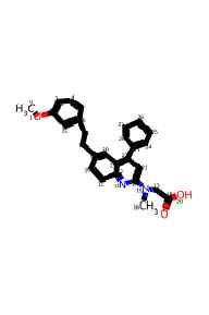 COc1cccc(CCc2ccc3nc(N(C)CC(=O)O)cc(-c4ccccc4)c3c2)c1